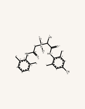 CCCC(C(=O)Nc1c(C)cc(C#N)cc1C)[PH](CC)(CC)CC(=O)Nc1c(C)cccc1C